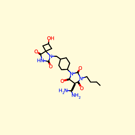 CCCCN1C(=O)C(=C(N)N)C(=O)N(C2CCC(CN3C(=O)NC(=O)C34CC(O)C4)CC2)C1=O